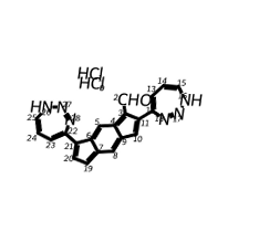 Cl.Cl.O=CC1=c2cc3c(cc2C=C1C1=CC=CNN=N1)=CC=C3C1=CC=CNN=N1